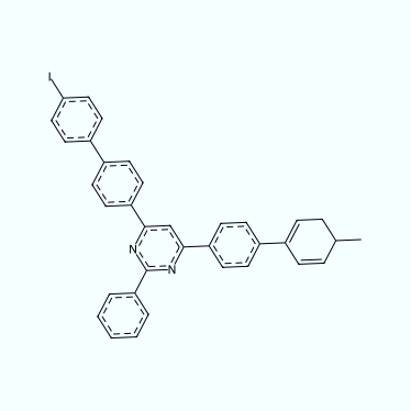 CC1C=CC(c2ccc(-c3cc(-c4ccc(-c5ccc(I)cc5)cc4)nc(-c4ccccc4)n3)cc2)=CC1